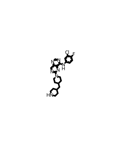 Fc1ccc(Nc2ncnc3cnc(N4CCC(CC5CCNCC5)CC4)nc23)cc1Cl